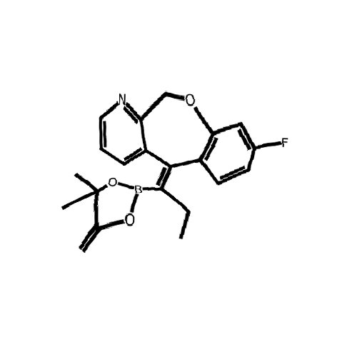 C=C1OB(/C(CC)=C2/c3ccc(F)cc3OCc3ncccc32)OC1(C)C